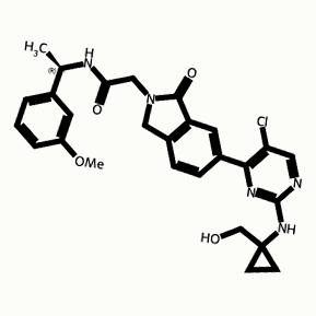 COc1cccc([C@@H](C)NC(=O)CN2Cc3ccc(-c4nc(NC5(CO)CC5)ncc4Cl)cc3C2=O)c1